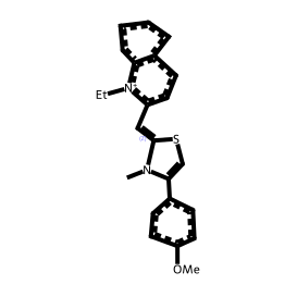 CC[n+]1c(/C=C2\SC=C(c3ccc(OC)cc3)N2C)ccc2ccccc21